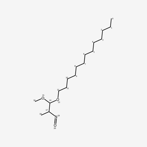 CCCCCCCCCCCCCOC(OC)C(C)N=O